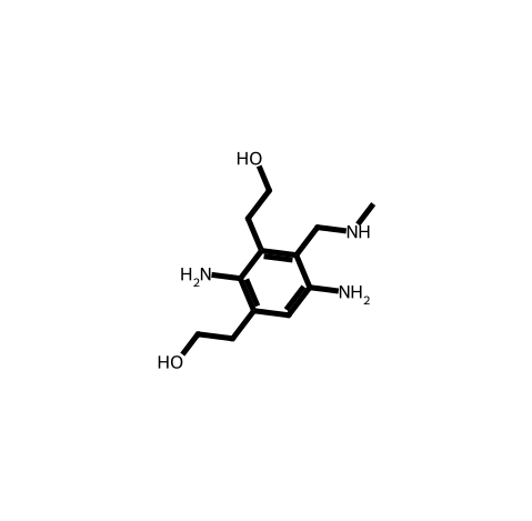 CNCc1c(N)cc(CCO)c(N)c1CCO